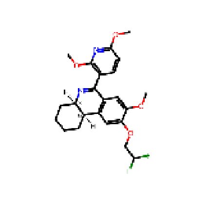 COc1ccc(C2=N[C@@H]3CCCC[C@@H]3c3cc(OCC(F)F)c(OC)cc32)c(OC)n1